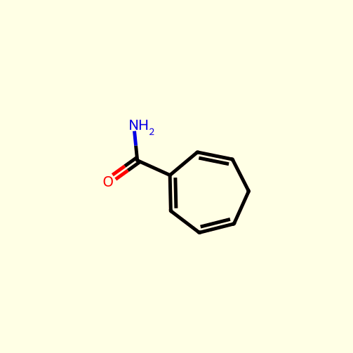 NC(=O)C1=CC=CCC=C1